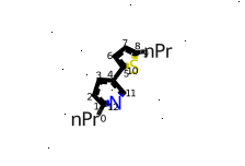 CCCc1ccc(-c2ccc(CCC)s2)cn1